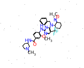 CO/N=C1\CCCC[C@H]1N(Cc1ccccc1)c1nc(Nc2ccc(C(=O)NC3CCCN(C)C3)cc2OC)ncc1C(F)(F)F